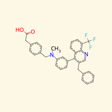 CN(Cc1ccc(CC(=O)O)cc1)c1cccc(-c2c(Cc3ccccc3)cnc3c(C(F)(F)F)cccc23)c1